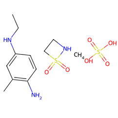 C.CCNc1ccc(N)c(C)c1.O=S(=O)(O)O.O=S1(=O)CCN1